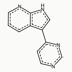 [c]1nccc(-c2c[nH]c3ncccc23)n1